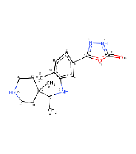 CC(Nc1cc(-c2n[nH]c(=O)o2)ccc1C(F)(F)F)C1(C)CCNCC1